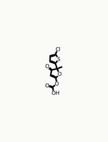 CC1(c2ccc(Cl)s2)OC(OC(=O)O)=CC1=O